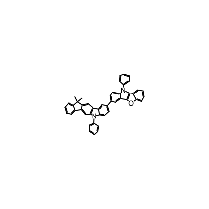 CC1(C)c2ccccc2-c2cc3c(cc21)c1cc(-c2ccc4c(c2)c2oc5ccccc5c2n4-c2ccccc2)ccc1n3-c1ccccc1